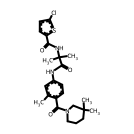 Cc1cc(NC(=O)C(C)(C)NC(=O)c2ccc(Cl)s2)ccc1C(=O)N1CCCC(C)(C)C1